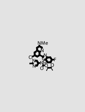 CNc1cnc2c(-c3nc4cc(F)c(O[C@@H](C)[C@@H](C)OC(=O)Nc5cnc(C)nc5)cc4s3)cc(Cl)cc2c1